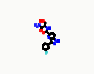 NC(=O)C(CO)NC(=O)c1ccc2[nH]nc(-c3cccc(F)c3)c2n1